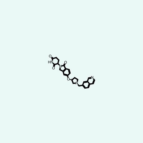 O=C1CCC(N2Cc3cc(O[C@H]4CCN(Cc5ccc6ccncc6c5)C4)ccc3C2=O)C(=O)N1